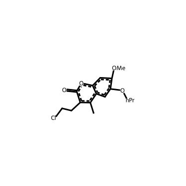 CCCOc1cc2c(C)c(CCCl)c(=O)oc2cc1OC